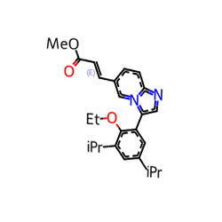 CCOc1c(-c2cnc3ccc(/C=C/C(=O)OC)cn23)cc(C(C)C)cc1C(C)C